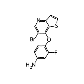 Nc1ccc(Oc2c(Br)cnc3ccsc23)c(F)c1